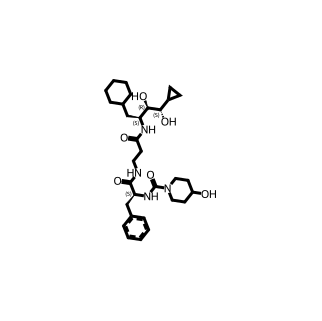 O=C(CCNC(=O)[C@H](Cc1ccccc1)NC(=O)N1CCC(O)CC1)N[C@@H](CC1CCCCC1)[C@@H](O)[C@@H](O)C1CC1